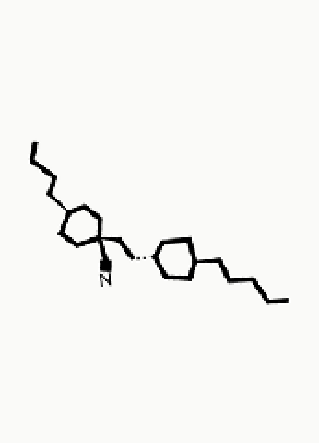 CCCCC[C@H]1CC[C@H](CC[C@]2(C#N)CC[C@H](CCCC)CC2)CC1